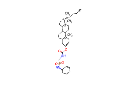 CC(C)CCC[C@@H](C)[C@H]1CCC2C3CCC4CC(OC(=O)NCS(=O)(=O)Nc5ccccc5)=CC[C@]4(C)C3CC[C@@]21C